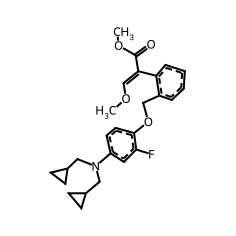 CO/C=C(/C(=O)OC)c1ccccc1COc1ccc(N(CC2CC2)CC2CC2)cc1F